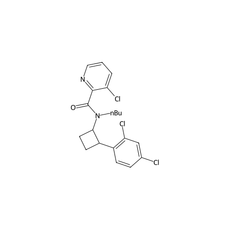 CCCCN(C(=O)c1ncccc1Cl)C1CCC1c1ccc(Cl)cc1Cl